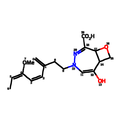 C=C(/C=C\C(=C/C)OC)CCN1C=C(O)C2COC2C(C(=O)O)=N1